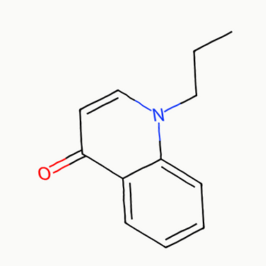 CCCn1ccc(=O)c2ccccc21